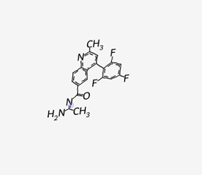 C/C(N)=N\C(=O)c1ccc2nc(C)cc(-c3c(F)cc(F)cc3F)c2c1